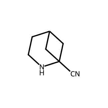 N#CC12CC(CCN1)C2